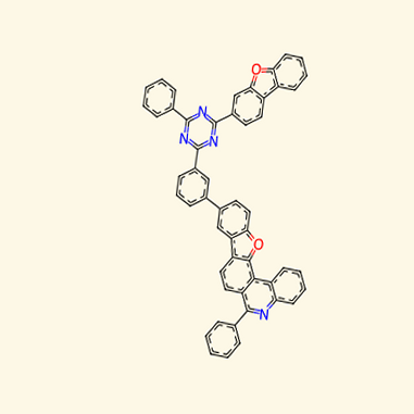 c1ccc(-c2nc(-c3cccc(-c4ccc5oc6c(ccc7c(-c8ccccc8)nc8ccccc8c76)c5c4)c3)nc(-c3ccc4c(c3)oc3ccccc34)n2)cc1